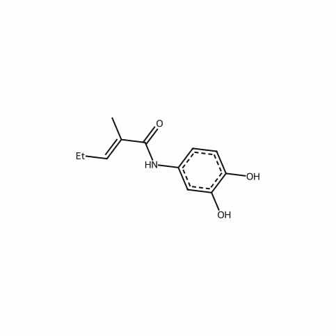 CCC=C(C)C(=O)Nc1ccc(O)c(O)c1